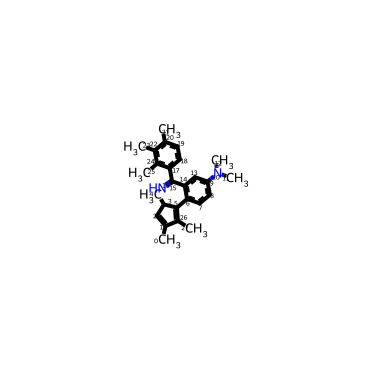 CC1=CC(C)C(c2ccc(N(C)C)cc2C(=N)c2ccc(C)c(C)c2C)=C1C